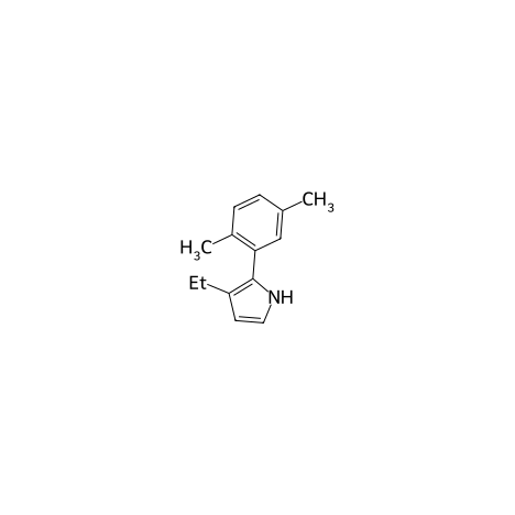 CCc1cc[nH]c1-c1cc(C)ccc1C